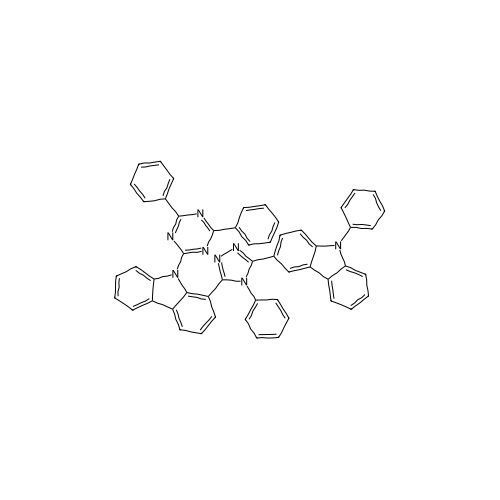 c1ccc(-c2nc(-c3ccccc3)nc(-n3c4ccccc4c4cccc(-c5nnc(-c6ccc7c(c6)c6ccccc6n7-c6ccccc6)n5-c5ccccc5)c43)n2)cc1